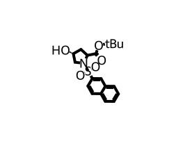 CC(C)(C)OC(=O)C1C[C@@H](O)CN1S(=O)(=O)c1ccc2ccccc2c1